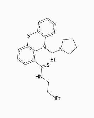 CCC(N1CCCC1)N1c2ccccc2Sc2cccc(C(=S)NCCC(C)C)c21